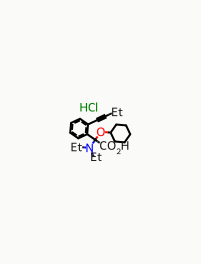 CCC#Cc1ccccc1C(OC1CCCCC1)(C(=O)O)N(CC)CC.Cl